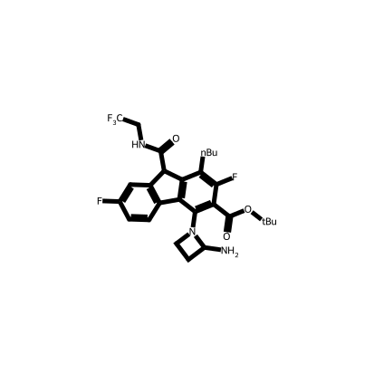 CCCCc1c(F)c(C(=O)OC(C)(C)C)c(N2CCC2N)c2c1C(C(=O)NCC(F)(F)F)c1cc(F)ccc1-2